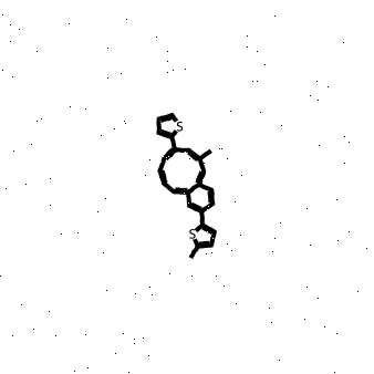 Cc1cc(-c2cccs2)ccccc2cc(-c3ccc(C)s3)ccc2c1